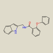 O=C(NCc1cc2ccccc2[nH]1)c1ccccc1Oc1ccccc1